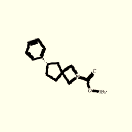 CC(C)(C)OC(=O)N1CC2(CC[C@H](c3ccccc3)C2)C1